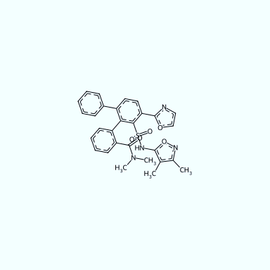 Cc1noc(NS(=O)(=O)c2c(-c3ncco3)ccc(-c3ccccc3)c2-c2ccccc2C(=O)N(C)C)c1C